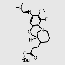 CN(C)/C=N/c1cc2c(c(F)c1C#N)N1CCCC(CCC(=O)OC(C)(C)C)[C@H](CO2)C1